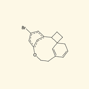 Brc1cc2cc(c1)C1CCC13C=C(C=CC3)CCO2